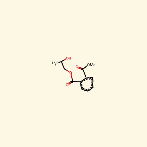 COC(=O)c1ccccc1C(=O)OCC(C)O